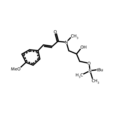 COc1ccc(/C=C/C(=O)N(C)CC(O)CO[Si](C)(C)C(C)(C)C)cc1